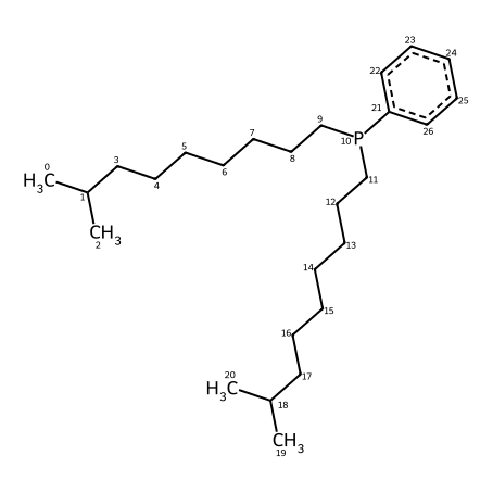 CC(C)CCCCCCCP(CCCCCCCC(C)C)c1ccccc1